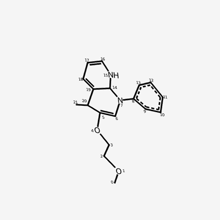 COCCOC1=CN(c2ccccc2)C2NC=CC=C2C1C